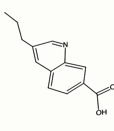 CCCc1cnc2cc(C(=O)O)ccc2c1